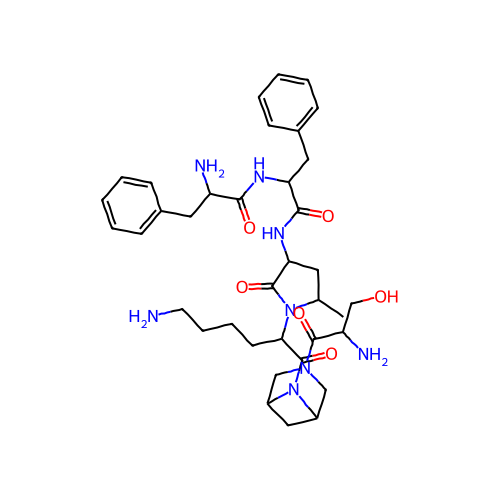 CC1CC(NC(=O)C(Cc2ccccc2)NC(=O)C(N)Cc2ccccc2)C(=O)N1C(CCCCN)C(=O)N1C2CC1CN(C(=O)C(N)CO)C2